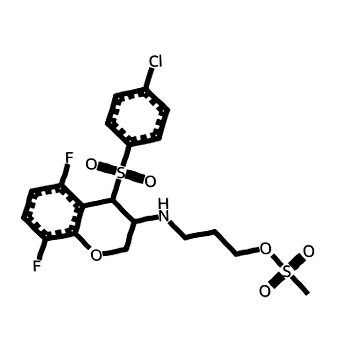 CS(=O)(=O)OCCCNC1COc2c(F)ccc(F)c2C1S(=O)(=O)c1ccc(Cl)cc1